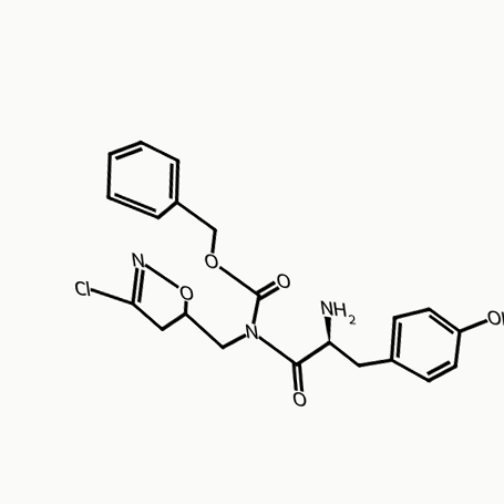 N[C@@H](Cc1ccc(O)cc1)C(=O)N(CC1CC(Cl)=NO1)C(=O)OCc1ccccc1